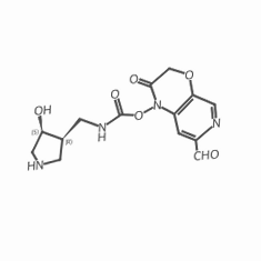 O=Cc1cc2c(cn1)OCC(=O)N2OC(=O)NC[C@H]1CNC[C@H]1O